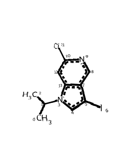 CC(C)n1cc(I)c2cnc(Cl)cc21